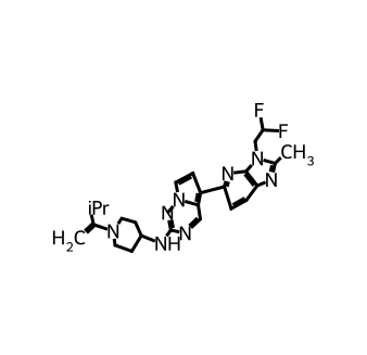 C=C(C(C)C)N1CCC(Nc2ncc3c(-c4ccc5nc(C)n(CC(F)F)c5n4)ccn3n2)CC1